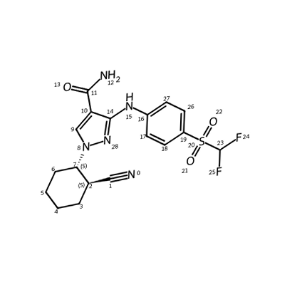 N#C[C@H]1CCCC[C@@H]1n1cc(C(N)=O)c(Nc2ccc(S(=O)(=O)C(F)F)cc2)n1